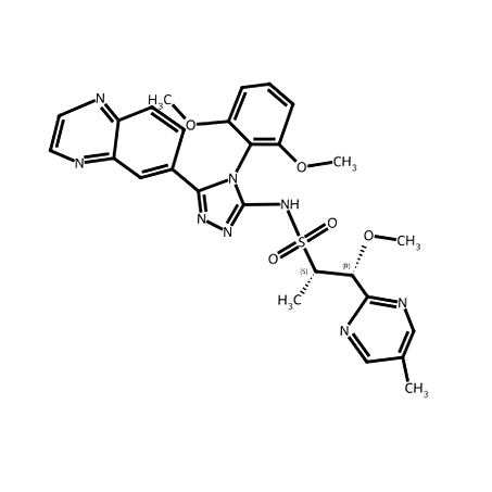 COc1cccc(OC)c1-n1c(NS(=O)(=O)[C@@H](C)[C@H](OC)c2ncc(C)cn2)nnc1-c1ccc2nccnc2c1